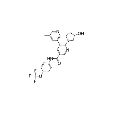 Cc1cncc(-c2cc(C(=O)Nc3ccc(OC(F)(F)F)cc3)cnc2N2CCC(O)C2)c1